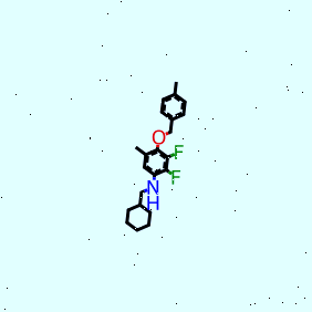 Cc1ccc(COc2c(C)cc(NCC3CCCCC3)c(F)c2F)cc1